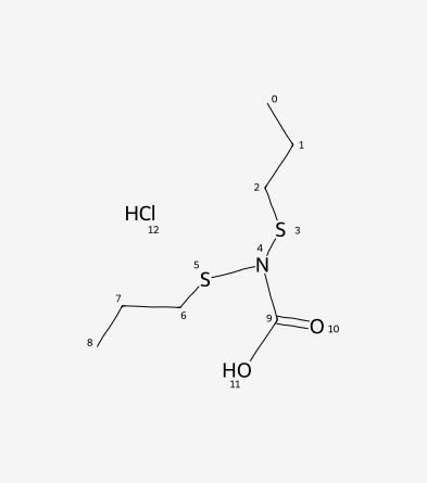 CCCSN(SCCC)C(=O)O.Cl